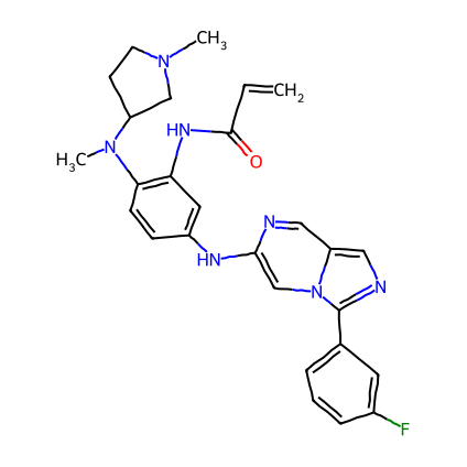 C=CC(=O)Nc1cc(Nc2cn3c(-c4cccc(F)c4)ncc3cn2)ccc1N(C)C1CCN(C)C1